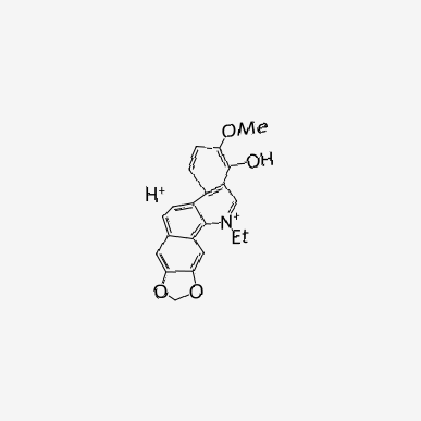 CC[n+]1cc2c(O)c(OC)ccc2c2ccc3cc4c(cc3c21)OCO4.[H+]